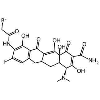 CN(C)[C@@H]1C(O)=C(C(N)=O)C(=O)[C@@]2(O)C(O)=C3C(=O)c4c(cc(F)c(NC(=O)CBr)c4O)CC3CC12